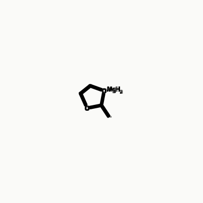 [CH2]C1OCCO1.[MgH2]